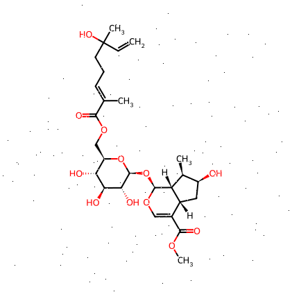 C=CC(C)(O)CC/C=C(\C)C(=O)OC[C@H]1O[C@@H](O[C@@H]2OC=C(C(=O)OC)[C@H]3C[C@H](O)[C@H](C)[C@@H]23)[C@H](O)[C@@H](O)[C@@H]1O